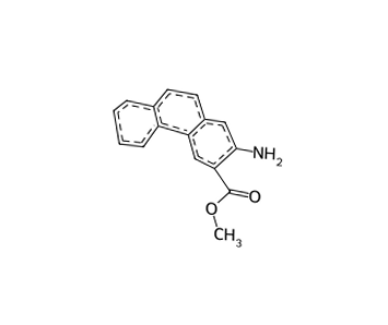 COC(=O)c1cc2c(ccc3ccccc32)cc1N